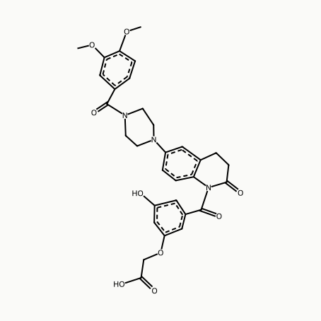 COc1ccc(C(=O)N2CCN(c3ccc4c(c3)CCC(=O)N4C(=O)c3cc(O)cc(OCC(=O)O)c3)CC2)cc1OC